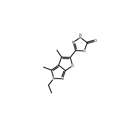 CCn1nc2oc(-c3n[nH]c(=O)o3)c(C)c2c1C